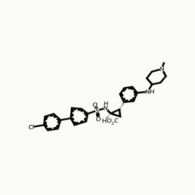 CN1CCC(Nc2cccc([C@@H]3C[C@]3(NS(=O)(=O)c3ccc(-c4ccc(Cl)cc4)cc3)C(=O)O)c2)CC1